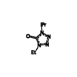 CCn1nnn(C(C)C)c1=O